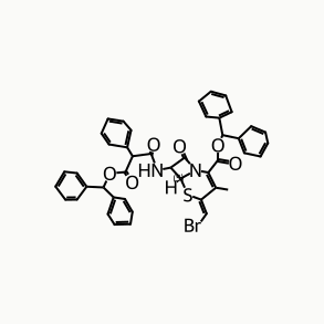 CC1=C(C(=O)OC(c2ccccc2)c2ccccc2)N2C(=O)C(NC(=O)C(C(=O)OC(c3ccccc3)c3ccccc3)c3ccccc3)[C@@H]2SC1=CBr